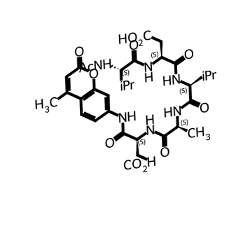 CC(=O)N[C@H](C(=O)N[C@@H](CC(=O)O)C(=O)N[C@H](C(=O)N[C@@H](C)C(=O)N[C@@H](CC(=O)O)C(=O)Nc1ccc2c(C)cc(=O)oc2c1)C(C)C)C(C)C